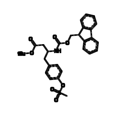 CC(C)(C)OC(=O)CC(Cc1ccc(OS(C)(=O)=O)cc1)NC(=O)OCC1c2ccccc2-c2ccccc21